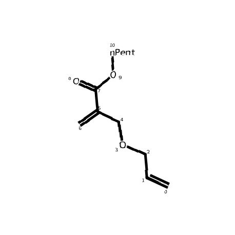 C=CCOCC(=C)C(=O)OCCCCC